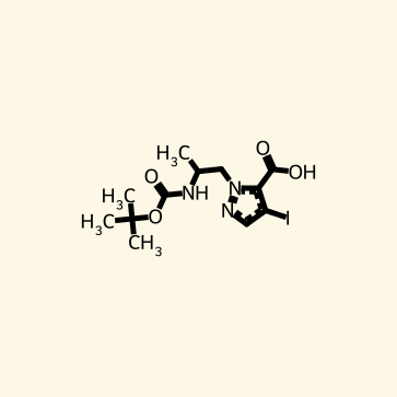 CC(Cn1ncc(I)c1C(=O)O)NC(=O)OC(C)(C)C